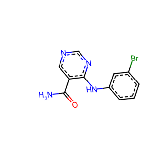 NC(=O)c1cncnc1Nc1cccc(Br)c1